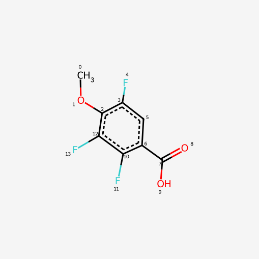 COc1c(F)cc(C(=O)O)c(F)c1F